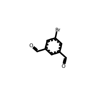 O=Cc1cc(Br)cc(C=O)c1